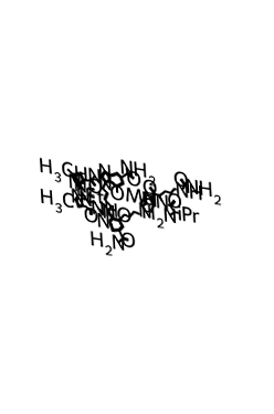 CCn1nc(C)cc1C(=O)Nc1nc2cc(C(N)=O)cc(OC)c2n1C/C=C/Cn1c(NC(=O)c2cc(C)nn2CC)nc2cc(C(N)=O)cc(OCCCN3CCN(C(=O)C(CCCNC(N)=O)NC(=O)C(N)C(C)C)CC3)c21